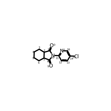 O=C1C2CCCCC2C(=O)N1c1ccc(Cl)cn1